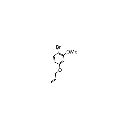 C=CCOc1ccc(Br)c(OC)c1